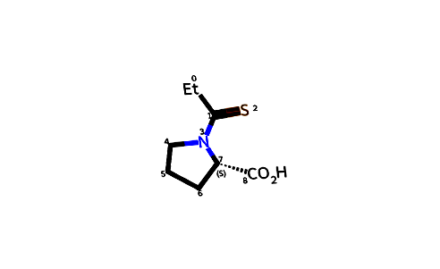 CCC(=S)N1CCC[C@H]1C(=O)O